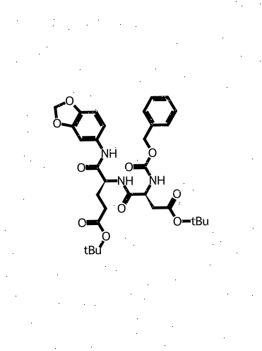 CC(C)(C)OC(=O)CC[C@H](NC(=O)[C@H](CC(=O)OC(C)(C)C)NC(=O)OCc1ccccc1)C(=O)Nc1ccc2c(c1)OCO2